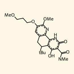 CNC(=O)c1c(O)c2c([nH]c1=O)-c1nc(OC)c(OCCCOC)cc1CC2C(C)(C)C